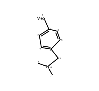 CSc1ccc(CN(C)C)cc1